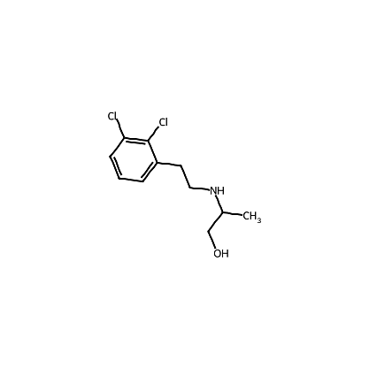 CC(CO)NCCc1cccc(Cl)c1Cl